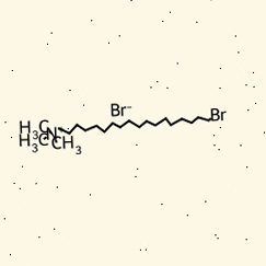 C[N+](C)(C)CCCCCCCCCCCCCCCCCCBr.[Br-]